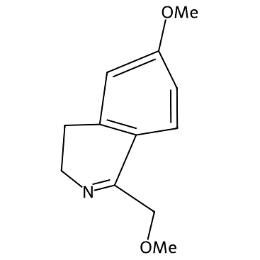 COCC1=NCCc2cc(OC)ccc21